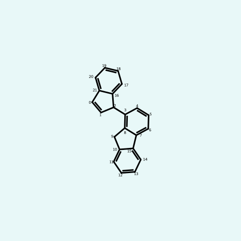 C1=CC(c2cccc3c2Cc2ccccc2-3)c2ccccc21